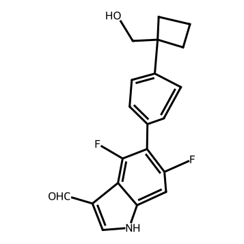 O=Cc1c[nH]c2cc(F)c(-c3ccc(C4(CO)CCC4)cc3)c(F)c12